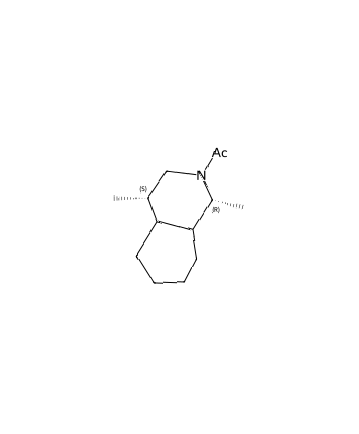 CC(=O)N1C[C@@H](C)C2CCCCC2[C@H]1C